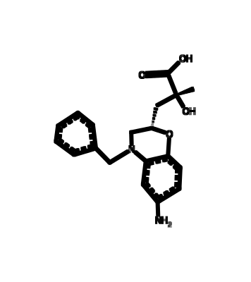 C[C@@](O)(C[C@H]1CN(Cc2ccccc2)c2cc(N)ccc2O1)C(=O)O